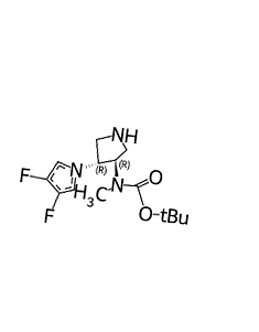 CN(C(=O)OC(C)(C)C)[C@@H]1CNC[C@H]1n1cc(F)c(F)c1